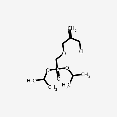 C=C(CCl)COCP(=O)(OC(C)C)OC(C)C